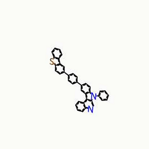 c1ccc(-n2c3ccc(-c4ccc(-c5ccc6sc7ccccc7c6c5)cc4)cc3c3c4ccccc4ncc32)cc1